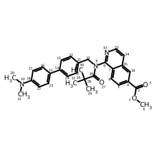 COC(=O)c1ccc2c(N(Cc3ccc(-c4ccc(N(C)C)cc4)cc3)C(=O)C(C)(C)C)nccc2c1